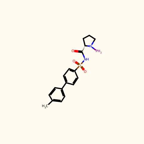 Cc1ccc(-c2ccc(S(=O)(=O)NC(=O)[C@@H]3CCCN3P)cc2)cc1